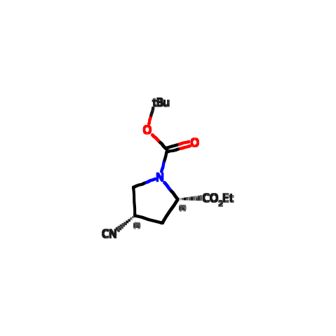 [C-]#[N+][C@H]1C[C@@H](C(=O)OCC)N(C(=O)OC(C)(C)C)C1